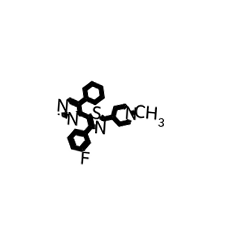 CN1CCC(c2nc(-c3cccc(F)c3)c(-c3n[c]ncc3C3CCCCC3)s2)CC1